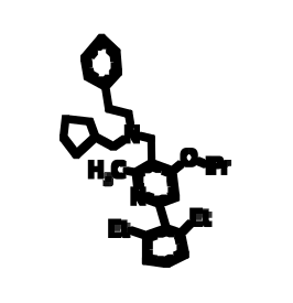 CCc1cccc(CC)c1-c1cc(OC(C)C)c(CN(CCc2ccccc2)CC2CCCC2)c(C)n1